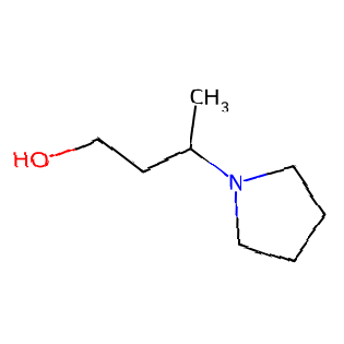 CC(CCO)N1CCCC1